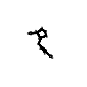 [O]C#CCN1CCCC1=O